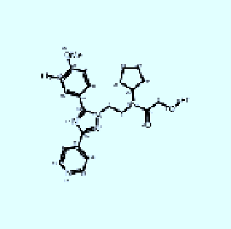 CCOCC(=O)N(CCn1nc(-c2ccncc2)nc1-c1ccc(OC)c(Cl)c1)C1CCCC1